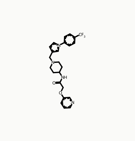 O=C(COc1cccnc1)NC1CCN(Cc2ccn(-c3ccc(C(F)(F)F)cc3)c2)CC1